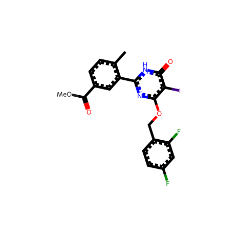 COC(=O)c1ccc(C)c(-c2nc(OCc3ccc(F)cc3F)c(I)c(=O)[nH]2)c1